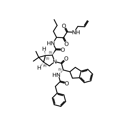 C=CCNC(=O)C(=O)C(CCC)NC(=O)[C@@H]1[C@H]2[C@@H](CN1C(=O)[C@@H](NC(=O)Cc1ccccc1)C1Cc3ccccc3C1)C2(C)C